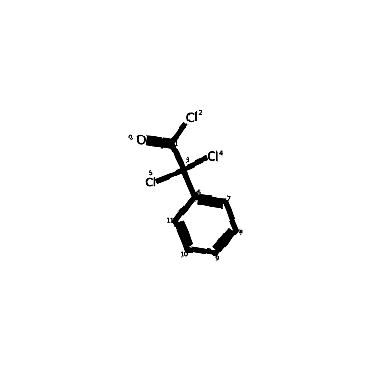 O=C(Cl)C(Cl)(Cl)c1ccccc1